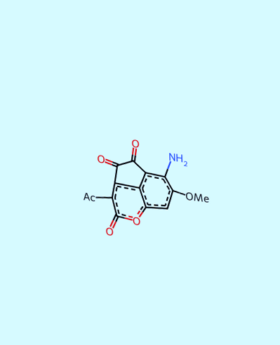 COc1cc2oc(=O)c(C(C)=O)c3c2c(c1N)C(=O)C3=O